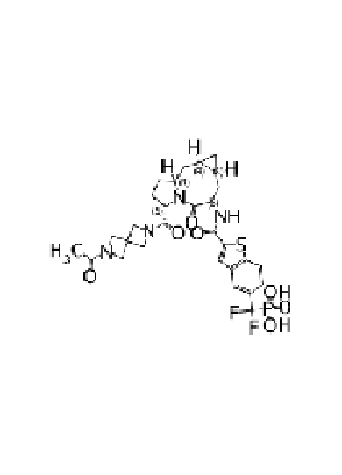 CC(=O)N1CC2(C1)CN(C(=O)[C@@H]1CC[C@@H]3C[C@H]4C[C@H]4C[C@H](NC(=O)c4cc5cc(C(F)(F)P(=O)(O)O)ccc5s4)C(=O)N31)C2